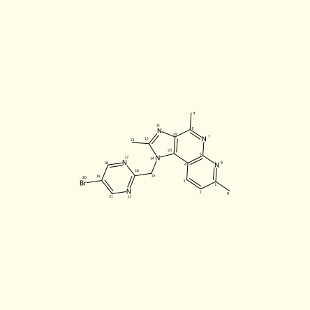 Cc1ccc2c(n1)nc(C)c1nc(C)n(Cc3ncc(Br)cn3)c12